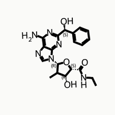 CCNC(=O)[C@H]1O[C@@H](n2cnc3c(N)nc([C@@H](O)c4ccccc4)nc32)C(C)[C@H]1O